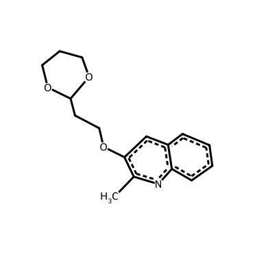 Cc1nc2ccccc2cc1OCCC1OCCCO1